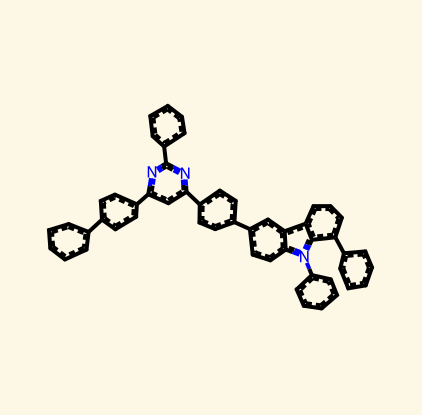 c1ccc(-c2ccc(-c3cc(-c4ccc(-c5ccc6c(c5)c5cccc(-c7ccccc7)c5n6-c5ccccc5)cc4)nc(-c4ccccc4)n3)cc2)cc1